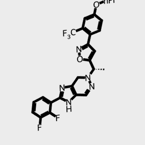 CCCOc1ccc(-c2cc([C@H](C)N3Cc4nc(-c5cccc(F)c5F)[nH]c4C=N3)on2)c(C(F)(F)F)c1